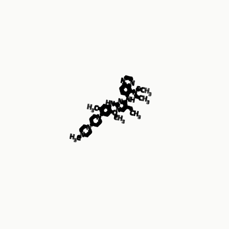 CCc1cnc(Nc2cc(C)c(N3CCC(N4CCN(C)CC4)CC3)cc2OC)nc1Nc1ccc2nccnc2c1N(CC)SC